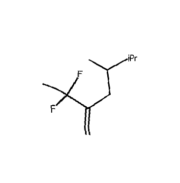 C=C(CC(C)C(C)C)C(C)(F)F